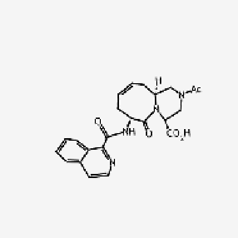 CC(=O)N1C[C@@H]2CC=CC[C@H](NC(=O)c3nccc4ccccc34)C(=O)N2[C@H](C(=O)O)C1